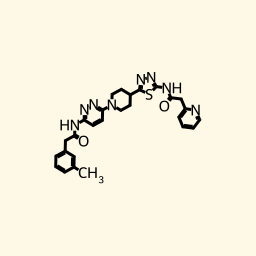 Cc1cccc(CC(=O)Nc2ccc(N3CCC(c4nnc(NC(=O)Cc5ccccn5)s4)CC3)nn2)c1